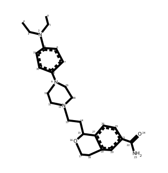 CCN(CC)c1ccc(N2CCN(CCC3OCCc4cc(C(N)=O)ccc43)CC2)cc1